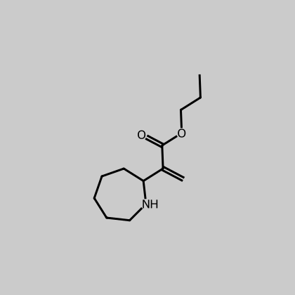 C=C(C(=O)OCCC)C1CCCCCN1